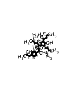 CC(C)CCC(O)[C@@]1(OC(=O)C(C)c2ccc(CC(C)C)cc2)C(=O)C(C(=O)CC(C)C)=C(O)[C@@H]1CCC(C)C